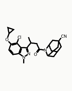 CC(CC(=O)N1C2CC3CC1CC(C#N)(C3)C2)c1nn(C)c2ccc(OC3CC3)c(Cl)c12